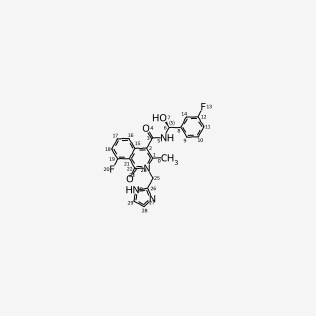 Cc1c(C(=O)N[C@@H](O)c2cccc(F)c2)c2cccc(F)c2c(=O)n1Cc1ncc[nH]1